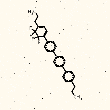 CCCC1=CC=C(c2ccc(-c3ccc(-c4ccc(CCC)cc4)cc3)cc2)C(F)(F)C1(F)F